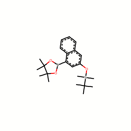 CC1(C)OB(c2cc(O[Si](C)(C)C(C)(C)C)cc3ccccc23)OC1(C)C